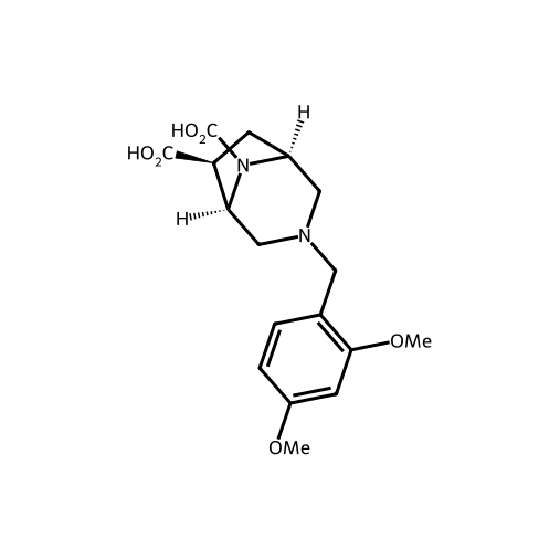 COc1ccc(CN2C[C@@H]3C[C@H](C(=O)O)[C@H](C2)N3C(=O)O)c(OC)c1